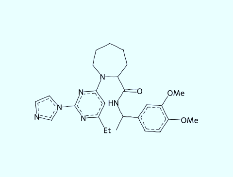 CCc1cc(N2CCCCCC2C(=O)NC(C)c2ccc(OC)c(OC)c2)nc(-n2ccnc2)n1